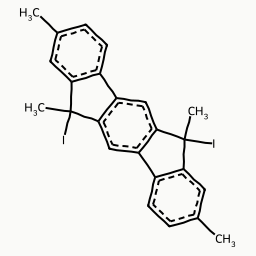 Cc1ccc2c(c1)C(C)(I)c1cc3c(cc1-2)C(C)(I)c1cc(C)ccc1-3